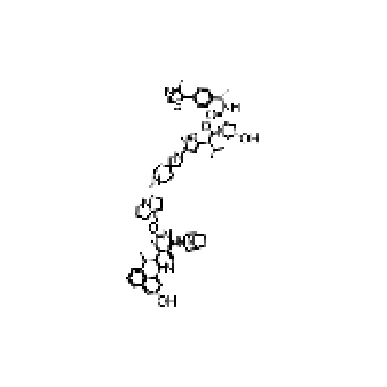 Cc1ncsc1-c1ccc([C@H](C)NC(=O)[C@@H]2C[C@@H](O)CN2C(=O)[C@H](c2cc(N3CC4(CCN(C[C@@H]5CC[C@]6(COc7nc(N8CC9CCC(C8)N9)c8cnc9c(c8n7)C(C)c7cccc8cc(O)cc-9c78)CCCN56)CC4)C3)no2)C(C)C)cc1